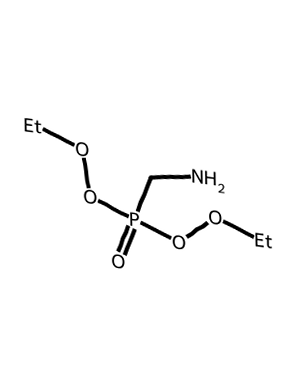 CCOOP(=O)(CN)OOCC